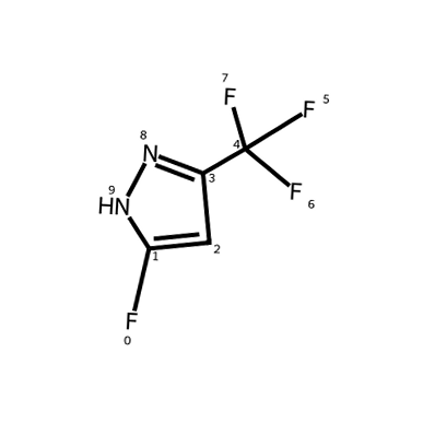 Fc1cc(C(F)(F)F)n[nH]1